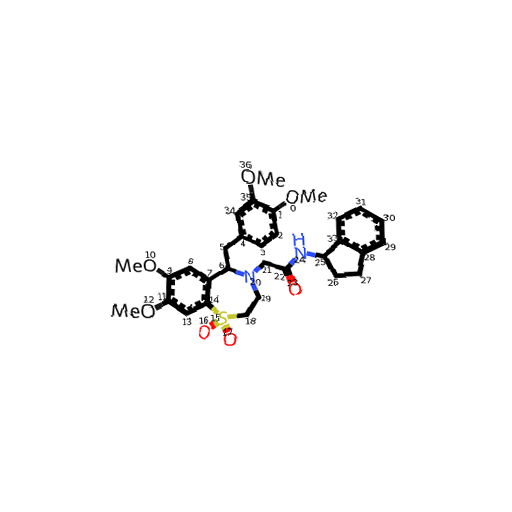 COc1ccc(CC2c3cc(OC)c(OC)cc3S(=O)(=O)CCN2CC(=O)NC2CCc3ccccc32)cc1OC